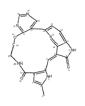 Cc1cc2c([nH]1)/C=C1\C(=O)Nc3ccc(nc31)-c1cncnc1OCCNC2=O